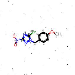 COc1ccc(Cn2nc([N+](=O)[O-])nc2Br)cc1